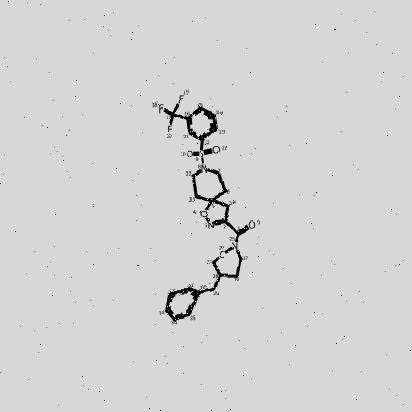 O=C(C1=NOC2(CCN(S(=O)(=O)c3cccc(C(F)(F)F)c3)CC2)C1)N1CCC(Cc2ccccc2)CC1